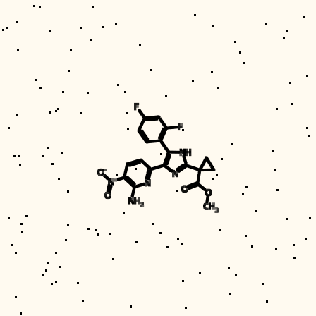 COC(=O)C1(c2nc(-c3ccc([N+](=O)[O-])c(N)n3)c(-c3ccc(F)cc3F)[nH]2)CC1